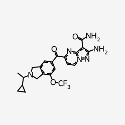 CC(C1CC1)N1Cc2cc(C(=O)c3ccn4nc(N)c(C(N)=O)c4n3)cc(OC(F)(F)F)c2C1